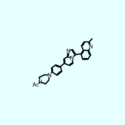 CC(=O)N1CCN(c2ccc(-c3ccn4c(-c5cccc6nc(C)ccc56)cnc4c3)cc2)CC1